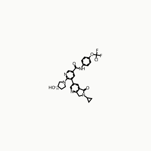 O=C(Nc1ccc(OC(F)(F)Cl)cc1)c1cnc(N2CC[C@H](O)C2)c(-c2cnc3c(c2)C(=O)N(C2CC2)C3)c1